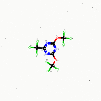 ClC(Cl)(Cl)Oc1nc(OC(Cl)(Cl)Cl)nc(C(Cl)(Cl)Cl)n1